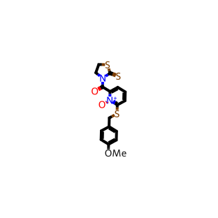 COc1ccc(CSc2cccc(C(=O)N3CCSC3=S)[n+]2[O-])cc1